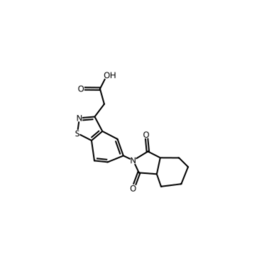 O=C(O)Cc1nsc2ccc(N3C(=O)C4CCCCC4C3=O)cc12